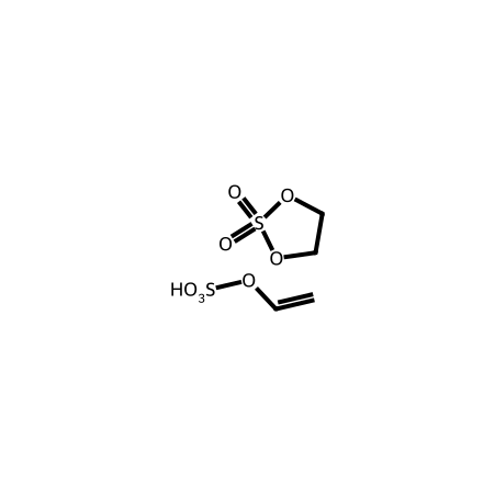 C=COS(=O)(=O)O.O=S1(=O)OCCO1